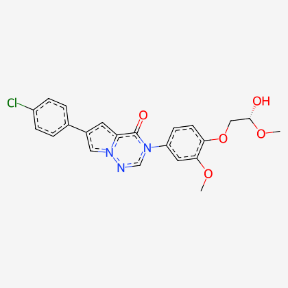 COc1cc(-n2cnn3cc(-c4ccc(Cl)cc4)cc3c2=O)ccc1OC[C@H](O)OC